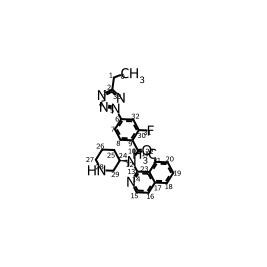 CCc1nnn(-c2ccc(C(=O)N(c3nccc4cccc(C)c34)[C@@H]3CCCNC3)c(F)c2)n1